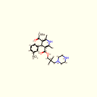 COC(=O)C1=C(C)NC(C)=C(C(=O)OCC(C)(C)CN2CCNCC2)C1c1cccc([N+](=O)[O-])c1